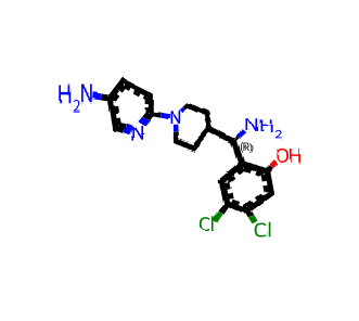 Nc1ccc(N2CCC([C@@H](N)c3cc(Cl)c(Cl)cc3O)CC2)nc1